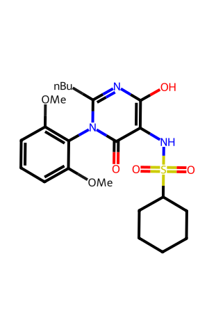 CCCCc1nc(O)c(NS(=O)(=O)C2CCCCC2)c(=O)n1-c1c(OC)cccc1OC